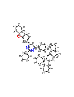 CC1(C)c2cc3c(cc2-c2c(-c4ccc(-c5cc(-c6ccc7c(c6)oc6ccccc67)nc(C6=CCCC=C6)n5)cc4)cccc21)C1(CCCCC1)c1ccccc1-3